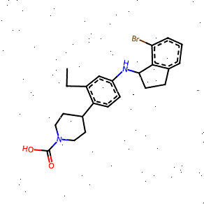 CCc1cc(NC2CCc3cccc(Br)c32)ccc1C1CCN(C(=O)O)CC1